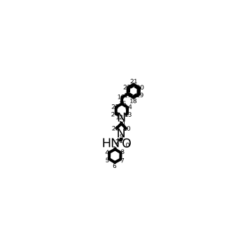 O=C(NC1CCCCC1)N1CC(N2CCC(Cc3ccccc3)CC2)C1